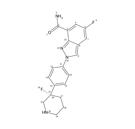 NC(=O)c1cc(F)cc2cn(-c3ccc([C@@]4(F)CCCNC4)cc3)nc12